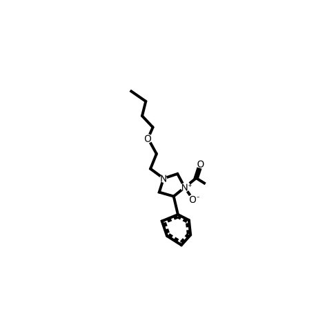 CCCCOCCN1CC(c2ccccc2)[N+]([O-])(C(C)=O)C1